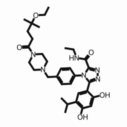 CCNC(=O)c1nnc(-c2cc(C(C)C)c(O)cc2O)n1-c1ccc(CN2CCN(C(=O)CCC(C)(C)OCC)CC2)cc1